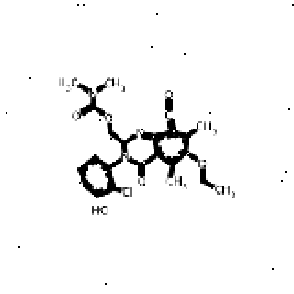 CCOc1c(C)c2c(c(=C=O)c1C)=NC(COC(=O)N(C)C)N(c1ccccc1Cl)C2=O.Cl